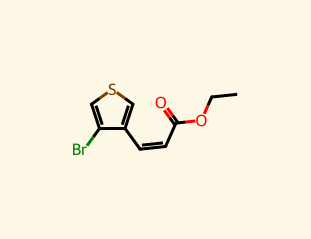 CCOC(=O)/C=C\c1cscc1Br